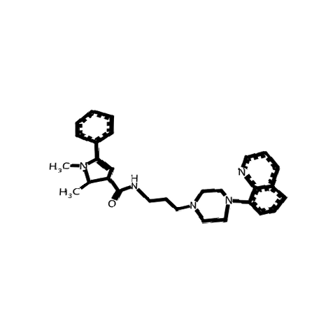 CC1C(C(=O)NCCCN2CCN(c3cccc4cccnc34)CC2)C=C(c2ccccc2)N1C